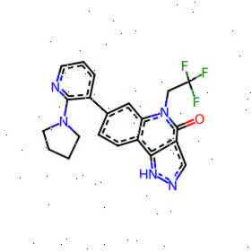 O=c1c2cn[nH]c2c2ccc(-c3cccnc3N3CCCC3)cc2n1CC(F)(F)F